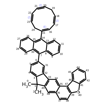 CC1(C)c2ccc(-c3c4ccccc4c(/C4=C/C=C\C/C=C\C=C/C4)c4ccccc34)cc2-c2cc3c(ccc4sc5ccccc5c43)cc21